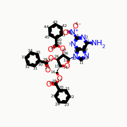 Nc1nc([N+](=O)[O-])nc2c1ncn2[C@@H]1O[C@H](COC(=O)c2ccccc2)[C@@H](OC(=O)c2ccccc2)[C@@H]1OC(=O)c1ccccc1